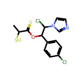 CC(S)C(=S)OC(c1ccc(Cl)cc1)C(Cl)n1ccnc1